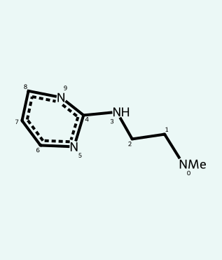 CNCCNc1ncccn1